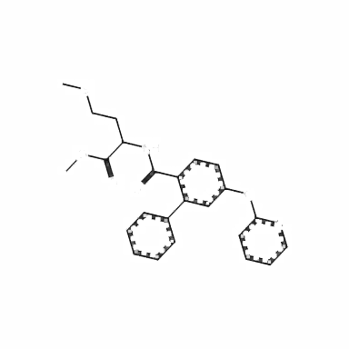 COC(=O)C(CCSC)NC(=O)c1ccc(Oc2ccccn2)cc1-c1ccccc1